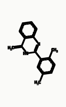 C=C1NC(c2cc(C)ccc2C)=Nc2ccccc21